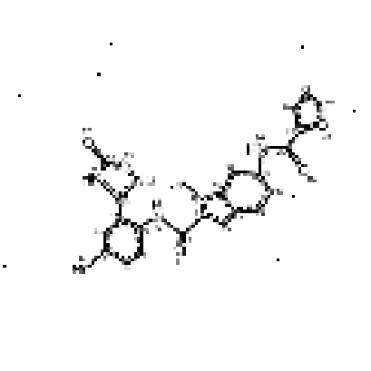 Cn1c(C(=O)Nc2ccc(Br)cc2-c2noc(=O)[nH]2)cc2ccc(NC(=O)c3ccco3)cc21